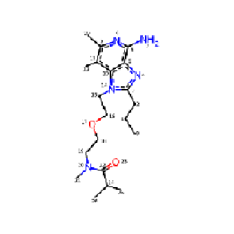 CCCc1nc2c(N)nc(C)c(C)c2n1CCOCCN(C)C(=O)C(C)C